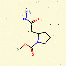 CC(C)(C)OC(=O)N1CCCC1CC(=O)NN